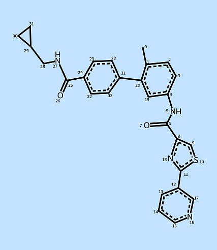 Cc1ccc(NC(=O)c2csc(-c3cccnc3)n2)cc1-c1ccc(C(=O)NCC2CC2)cc1